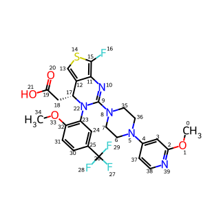 COc1cc(N2CCN(C3=Nc4c(csc4F)[C@@H](CC(=O)O)N3c3cc(C(F)(F)F)ccc3OC)CC2)ccn1